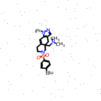 CC(C)n1ncc2c1C=C1CCN(S(=O)(=O)c3ccc(C(C)(C)C)cc3)CC1(CN(C)C)C2